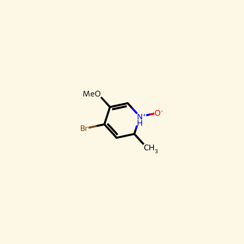 COC1=C[NH+]([O-])C(C)C=C1Br